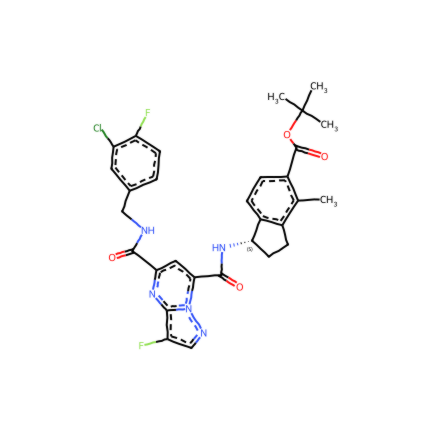 Cc1c(C(=O)OC(C)(C)C)ccc2c1CC[C@@H]2NC(=O)c1cc(C(=O)NCc2ccc(F)c(Cl)c2)nc2c(F)cnn12